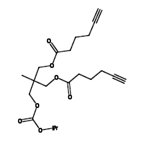 C#CCCCC(=O)OCC(C)(COC(=O)CCCC#C)COC(=O)OC(C)C